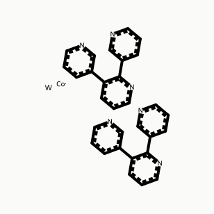 [Co].[W].c1cncc(-c2cccnc2-c2cccnc2)c1.c1cncc(-c2cccnc2-c2cccnc2)c1